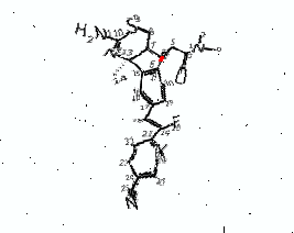 CN(C)C(=O)CC[C@@H]1CSC(N)=N[C@]1(C)c1cc(/C=C(\F)c2ccc(C#N)cn2)ccc1F